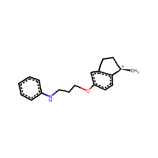 C[C@@H]1CCc2cc(OCCCNc3ccccc3)ccc21